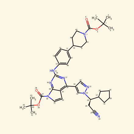 CC(C)(C)OC(=O)N1CCC(c2ccc(Nc3nc(-c4cnn([C@H](CC#N)C5CCCC5)c4)c4ccn(C(=O)OC(C)(C)C)c4n3)cc2)CC1